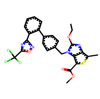 CCOc1nc2c(C)sc(C(=O)OC)c2n1Cc1ccc(-c2ccccc2-c2noc(C(Cl)(Cl)Cl)n2)cc1